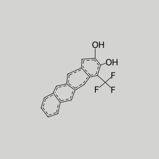 Oc1cc2cc3cc4ccccc4cc3cc2c(C(F)(F)F)c1O